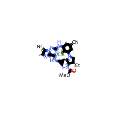 CC[C@H]1CN(c2cc(C#N)cc(Nc3nc(NC4CC4)c4ncc(C#N)n4n3)c2Cl)C[C@@H]1NC(=O)OC